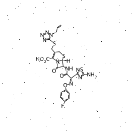 C=CCn1nnnc1SCC1=C(C(=O)O)N2C(=O)C(NC(=O)/C(=N\Oc3ccc(F)cc3)c3nsc(N)n3)[C@H]2SC1